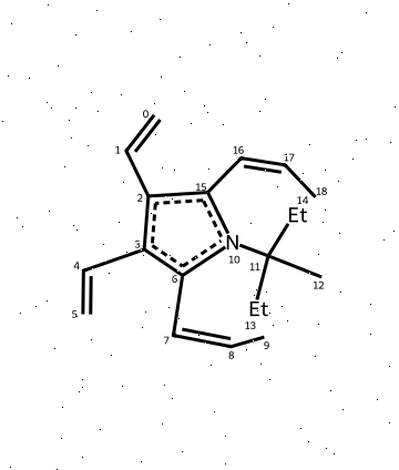 C=Cc1c(C=C)c(/C=C\C)n(C(C)(CC)CC)c1/C=C\C